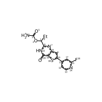 CCC(OC(N)=O)c1nc2cc(-c3ccnc(F)c3)sc2c(=O)[nH]1